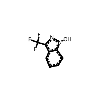 On1nc(C(F)(F)F)c2ccccc21